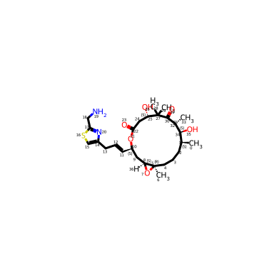 C[C@H]1CCC[C@@]2(C)O[C@H]2C[C@@H](C=CCc2csc(CN)n2)OC(=O)C[C@H](O)C(C)(C)C(=O)[C@H](C)[C@H]1O